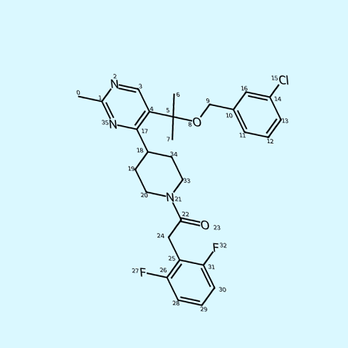 Cc1ncc(C(C)(C)OCc2cccc(Cl)c2)c(C2CCN(C(=O)Cc3c(F)cccc3F)CC2)n1